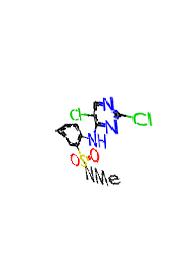 CNS(=O)(=O)c1ccccc1Nc1nc(Cl)ncc1Cl